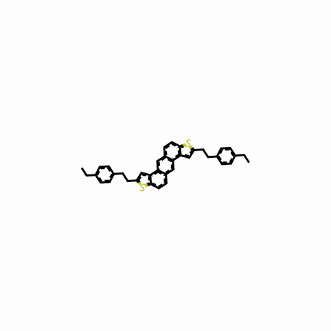 CCc1ccc(CCc2cc3c(ccc4cc5c(ccc6sc(CCc7ccc(CC)cc7)cc65)cc43)s2)cc1